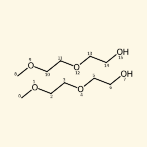 COCCOCCO.COCCOCCO